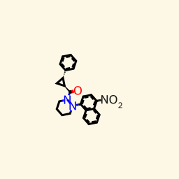 O=C([C@H]1C[C@@H]1c1ccccc1)N1CCCCN1c1ccc([N+](=O)[O-])c2ccccc12